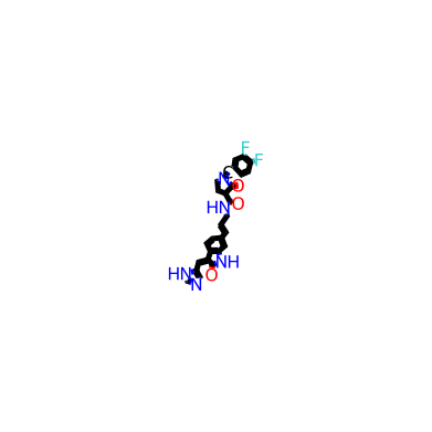 O=C1Nc2cc(/C=C/CNC(=O)C3CCN(Cc4ccc(F)c(F)c4)C3=O)ccc2C1=Cc1cnc[nH]1